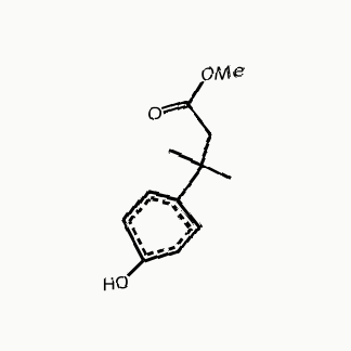 COC(=O)CC(C)(C)c1ccc(O)cc1